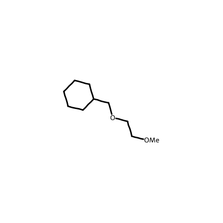 COCCOCC1CCCCC1